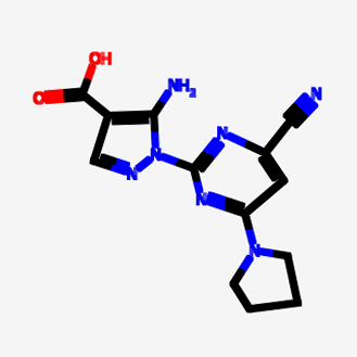 N#Cc1cc(N2CCCC2)nc(-n2ncc(C(=O)O)c2N)n1